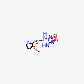 CCOc1cccnc1CSCCNC1=NS(=O)(=O)N=C1NC